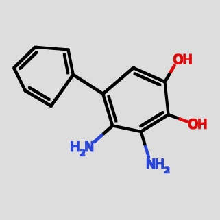 Nc1c(-c2ccccc2)cc(O)c(O)c1N